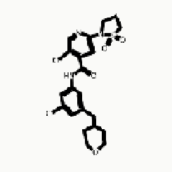 O=C(Nc1cc(Cl)cc(CC2CCOCC2)c1)c1cc(N2CCCS2(=O)=O)ncc1Cl